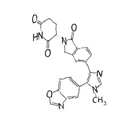 Cn1cnc(-c2ccc3c(c2)CN([C@H]2CCC(=O)NC2=O)C3=O)c1-c1ccc2ocnc2c1